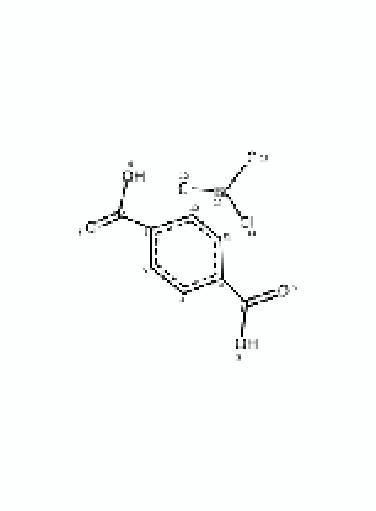 O=C(O)c1ccc(C(=O)O)cc1.[Cl][Bi]([Cl])[Cl]